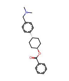 CN(C)Cc1ccc([C@H]2CC[C@H](OC(=O)c3ccccc3)CC2)cc1